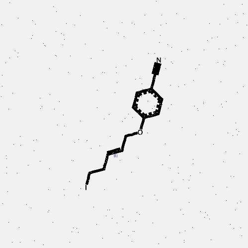 N#Cc1ccc(OC/C=C/CCI)cc1